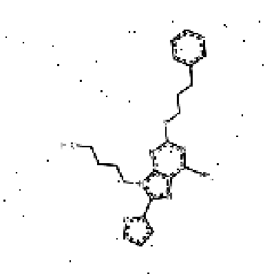 CCCCCn1c(-c2ccco2)nc2c(N)nc(SCCCc3ccccc3)nc21